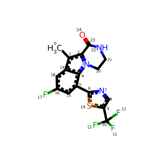 Cc1c2n(c3c(-c4ncc(C(F)(F)F)s4)cc(F)cc13)CCNC2=O